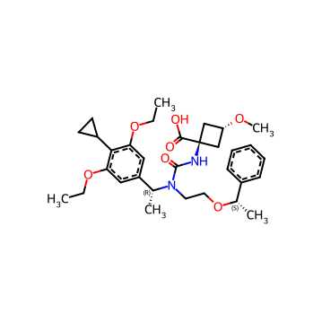 CCOc1cc([C@@H](C)N(CCO[C@@H](C)c2ccccc2)C(=O)N[C@]2(C(=O)O)C[C@@H](OC)C2)cc(OCC)c1C1CC1